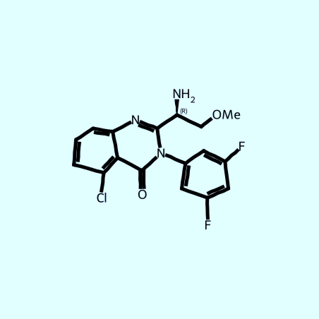 COC[C@H](N)c1nc2cccc(Cl)c2c(=O)n1-c1cc(F)cc(F)c1